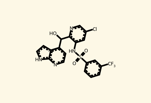 O=S(=O)(Nc1cc(Cl)cnc1C(O)c1ccnc2[nH]ccc12)c1cccc(C(F)(F)F)c1